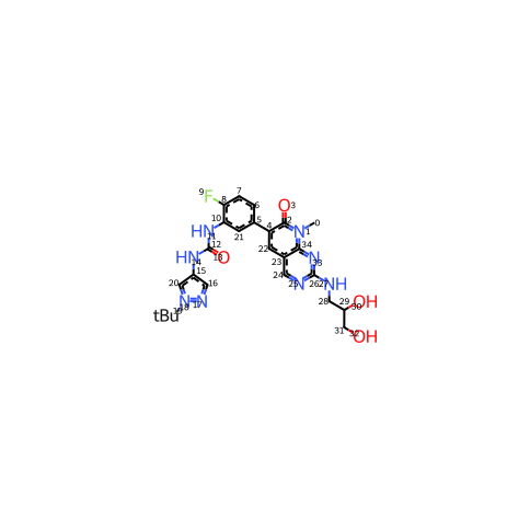 Cn1c(=O)c(-c2ccc(F)c(NC(=O)Nc3cnn(C(C)(C)C)c3)c2)cc2cnc(NCC(O)CO)nc21